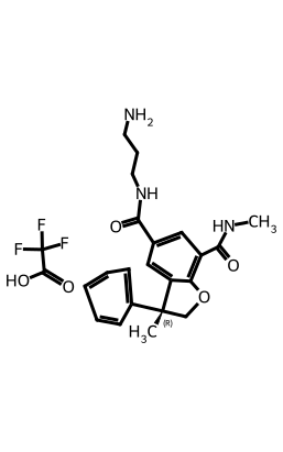 CNC(=O)c1cc(C(=O)NCCCN)cc2c1OC[C@]2(C)c1ccccc1.O=C(O)C(F)(F)F